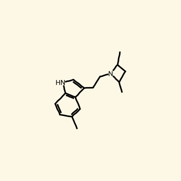 Cc1ccc2[nH]cc(CCN3C(C)CC3C)c2c1